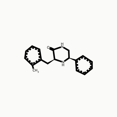 Cc1ccccc1C[C@@H]1N[C@H](c2ccccc2)CNC1=O